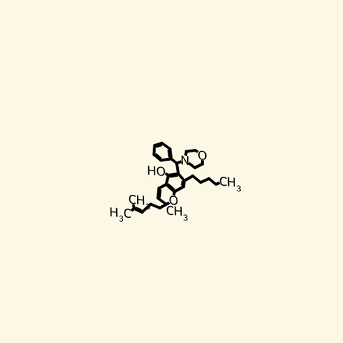 CCCCCc1cc2c(c(O)c1C(c1ccccc1)N1CCOCC1)C=CC(C)(CCC=C(C)C)O2